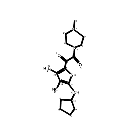 CN1CCN(C(=O)C(=O)c2sc(NC3CCCC3)c(C#N)c2N)CC1